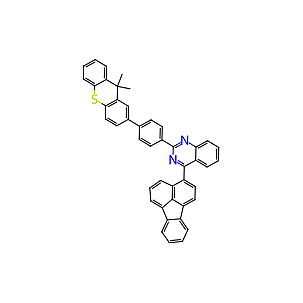 CC1(C)c2ccccc2Sc2ccc(-c3ccc(-c4nc(-c5ccc6c7c(cccc57)-c5ccccc5-6)c5ccccc5n4)cc3)cc21